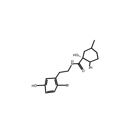 CC1CCC(C(C)C)[C@@](O)(C(=O)NCCc2cc(O)ccc2Br)C1